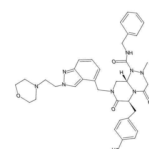 CN1CC(=O)N2[C@@H](Cc3ccc(O)cc3)C(=O)N(Cc3cccc4nn(CCN5CCOCC5)cc34)C[C@@H]2N1C(=O)NCc1ccccc1